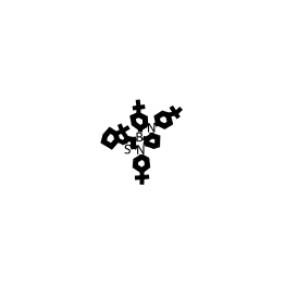 CC(C)(C)c1ccc(N2c3cc(C(C)(C)C)ccc3B3c4c2cccc4N(c2ccc(C(C)(C)C)cc2)c2sc4c(c23)C(C)(C)c2ccccc2-4)cc1